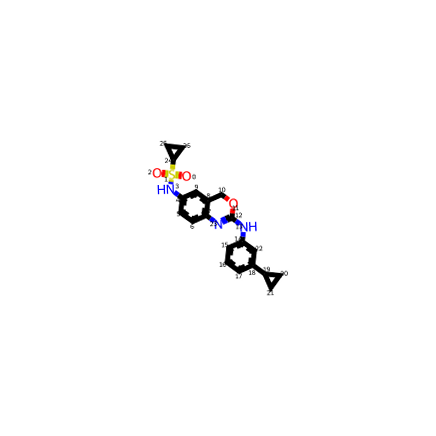 O=S(=O)(Nc1ccc2c(c1)COC(Nc1cccc(C3CC3)c1)=N2)C1CC1